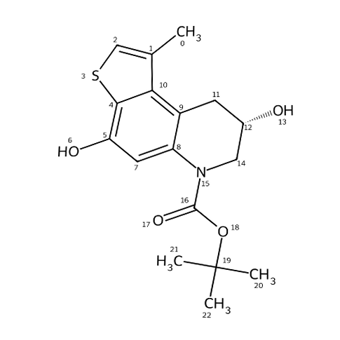 Cc1csc2c(O)cc3c(c12)C[C@H](O)CN3C(=O)OC(C)(C)C